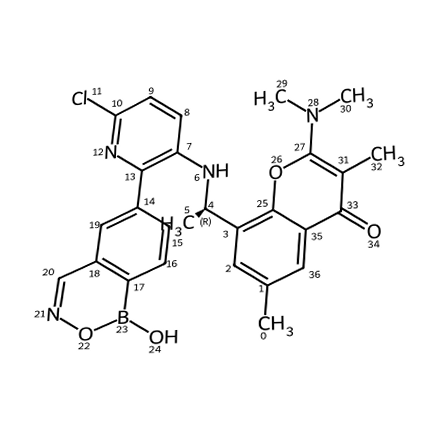 Cc1cc([C@@H](C)Nc2ccc(Cl)nc2-c2ccc3c(c2)C=NOB3O)c2oc(N(C)C)c(C)c(=O)c2c1